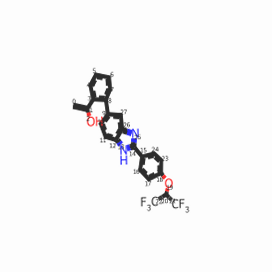 C=C(O)c1ccccc1-c1ccc2[nH]c(-c3ccc(OC(C(F)(F)F)C(F)(F)F)cc3)nc2c1